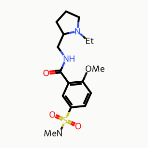 CCN1CCCC1CNC(=O)c1cc(S(=O)(=O)NC)ccc1OC